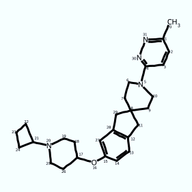 Cc1ccc(N2CCC3(CC2)Cc2ccc(OC4CCN(C5CCC5)CC4)cc2C3)nn1